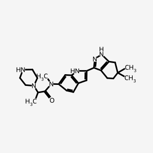 CC(C(=O)N(C)c1ccc2cc(-c3n[nH]c4c3CCC(C)(C)C4)[nH]c2c1)N1CCNCC1